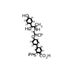 CC(C)Sc1cc(-c2ccc(OCCN[C@@H](C)[C@@H](O)c3ccc(O)cc3)cc2)ccc1C(=O)O.Cl